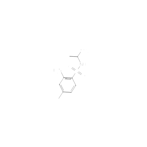 CCOC(=O)C(C)NS(=O)(=O)c1ccc(C)cc1N